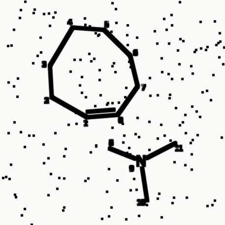 C1=CCCCCCC1.CN(C)C